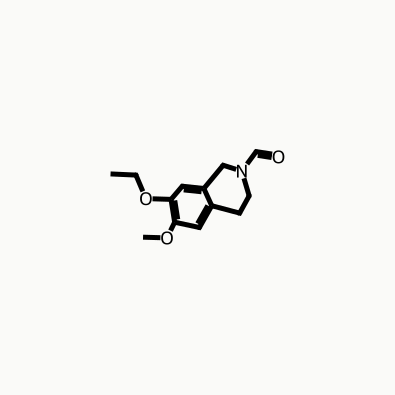 CCOc1cc2c(cc1OC)CCN(C=O)C2